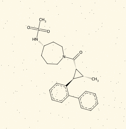 C[C@H]1[C@@H](C(=O)N2CCC[C@H](NS(C)(=O)=O)CC2)[C@@H]1c1ccccc1-c1ccccc1